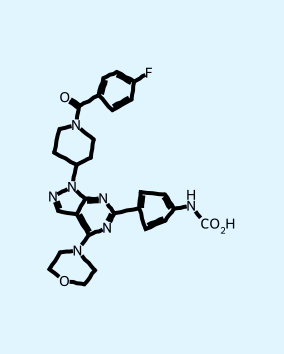 O=C(O)Nc1ccc(-c2nc(N3CCOCC3)c3cnn(C4CCN(C(=O)c5ccc(F)cc5)CC4)c3n2)cc1